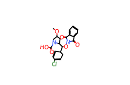 COC1CC(C(ON2C(=O)c3ccccc3C2=O)C2C=CC(Cl)=CC2)N(C(=O)O)C1